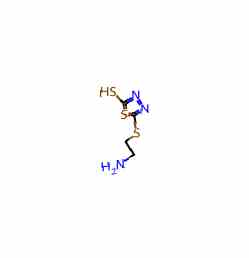 NCCSc1nnc(S)s1